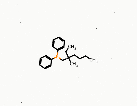 CCCCC(C)(CC)CP(c1ccccc1)c1ccccc1